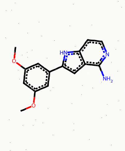 COc1cc(OC)cc(-c2cc3c(N)nccc3[nH]2)c1